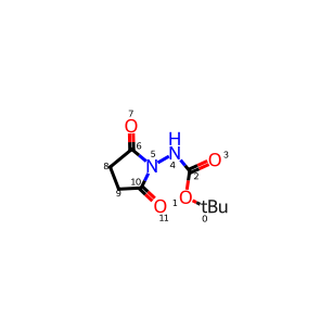 CC(C)(C)OC(=O)NN1C(=O)CCC1=O